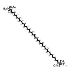 CO[Si](C)(C)CCCCCCCCCCCCCCCCCCSSCCCCCCCCCCCCCCCCCC[Si](C)(C)OC